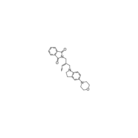 O=C1c2ccccc2C(=O)N1CC(=CF)CN1CCc2cc(N3CCOCC3)ccc21